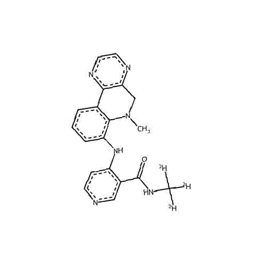 [2H]C([2H])([2H])NC(=O)c1cnccc1Nc1cccc2c1N(C)Cc1nccnc1-2